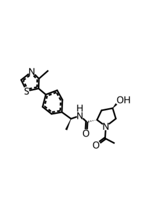 CC(=O)N1C[C@H](O)C[C@H]1C(=O)N[C@@H](C)c1ccc(-c2scnc2C)cc1